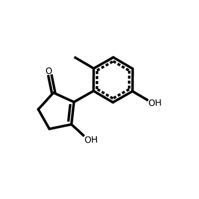 Cc1ccc(O)cc1C1=C(O)CCC1=O